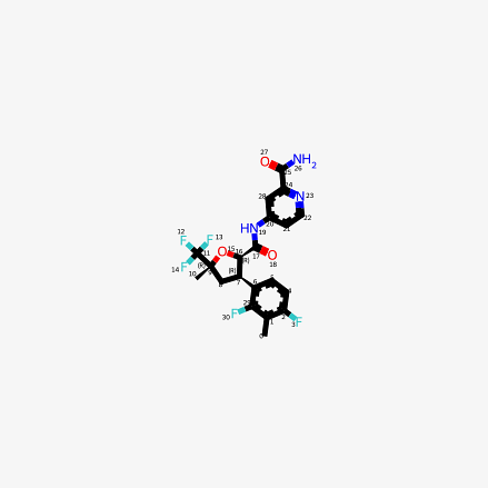 Cc1c(F)ccc([C@H]2C[C@](C)(C(F)(F)F)O[C@H]2C(=O)Nc2ccnc(C(N)=O)c2)c1F